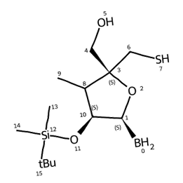 B[C@@H]1O[C@@](CO)(CS)C(C)[C@@H]1O[Si](C)(C)C(C)(C)C